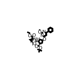 CCOC(=O)[C@@]1(NC(=O)[C@@H]2C[C@@H](Oc3cc(-c4ccccc4)nc(OC)n3)C[C@H]2C(=O)OC(C)(C)C)C[C@H]1I